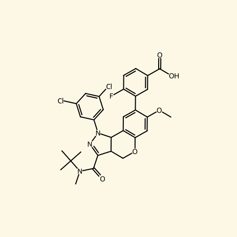 COc1cc2c(cc1-c1cc(C(=O)O)ccc1F)C1C(CO2)C(C(=O)N(C)C(C)(C)C)=NN1c1cc(Cl)cc(Cl)c1